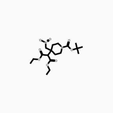 CCOC(=O)C(C(=O)OCC)C1(C[N+](=O)[O-])CCN(C(=O)OC(C)(C)C)CC1